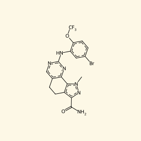 Cn1nc(C(N)=O)c2c1-c1nc(Nc3cc(Br)ccc3OC(F)(F)F)ncc1CC2